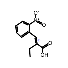 CC/C(=C\c1ccccc1[N+](=O)[O-])C(=O)O